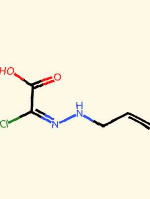 C=CCN/N=C(/Cl)C(=O)O